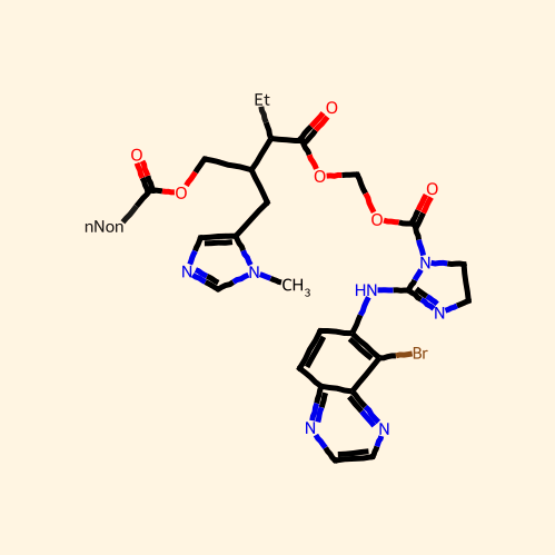 CCCCCCCCCC(=O)OCC(Cc1cncn1C)C(CC)C(=O)OCOC(=O)N1CCN=C1Nc1ccc2nccnc2c1Br